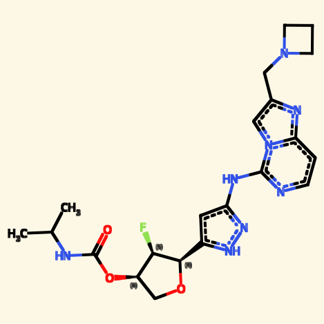 CC(C)NC(=O)O[C@@H]1CO[C@H](c2cc(Nc3nccc4nc(CN5CCC5)cn34)n[nH]2)[C@@H]1F